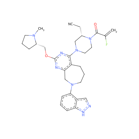 C=C(F)C(=O)N1CCN(c2nc(OC[C@@H]3CCCN3C)nc3c2CCCN(c2cccc4[nH]ncc24)C3)C[C@@H]1CC#N